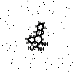 CC(=N)N1C(=N)CC(=O)N(Cc2ccccc2)c2ccccc21